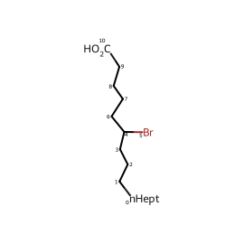 CCCCCCCCCCC(Br)CCCCC(=O)O